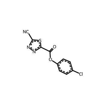 N#Cc1nnc(C(=O)Oc2ccc(Cl)cc2)s1